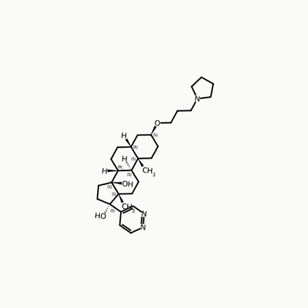 C[C@]12CC[C@H](OCCCN3CCCC3)C[C@H]1CC[C@@H]1[C@@H]2CC[C@]2(C)[C@@](O)(c3ccnnc3)CC[C@]12O